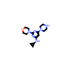 c1c(NC2CC2)nc(N2CCOCC2)nc1N1CCNCC1